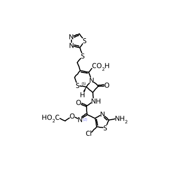 Nc1nc(/C(=N/OCC(=O)O)C(=O)NC2C(=O)N3C(C(=O)O)=C(CSc4nncs4)CS[C@@H]23)c(Cl)s1